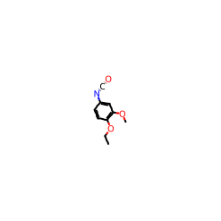 CCOc1ccc(N=C=O)cc1OC